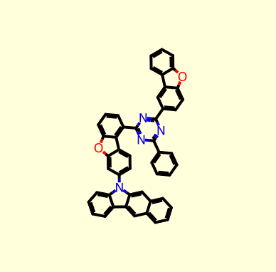 c1ccc(-c2nc(-c3ccc4oc5ccccc5c4c3)nc(-c3cccc4oc5cc(-n6c7ccccc7c7cc8ccccc8cc76)ccc5c34)n2)cc1